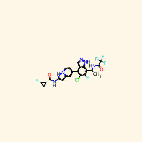 CC(NC(=O)C(F)(F)F)c1c(F)c(Cl)c(-c2ccn3nc(NC(=O)[C@@H]4C[C@@H]4F)cc3c2)c2cn[nH]c12